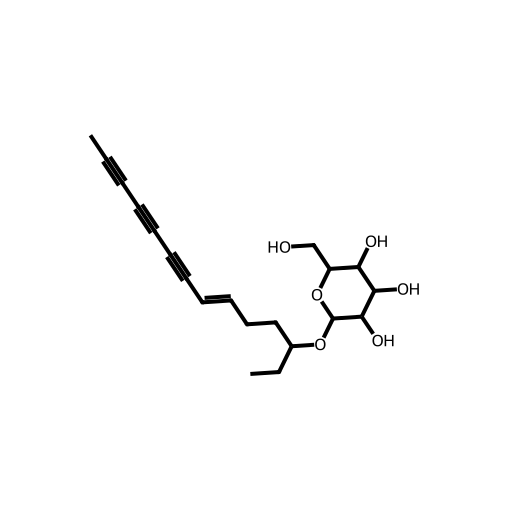 CC#CC#CC#C/C=C/CCC(CC)OC1OC(CO)C(O)C(O)C1O